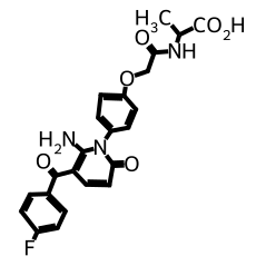 CC(NC(=O)COc1ccc(-n2c(N)c(C(=O)c3ccc(F)cc3)ccc2=O)cc1)C(=O)O